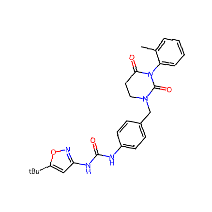 Cc1ccccc1N1C(=O)CCN(Cc2ccc(NC(=O)Nc3cc(C(C)(C)C)on3)cc2)C1=O